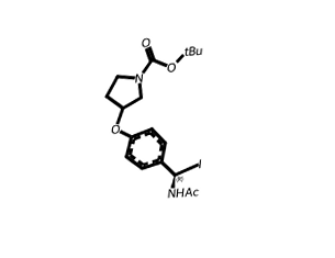 CC(=O)N[C@H](I)c1ccc(OC2CCN(C(=O)OC(C)(C)C)C2)cc1